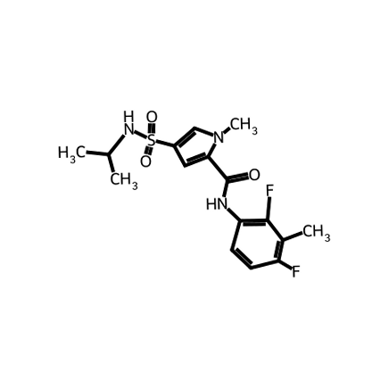 Cc1c(F)ccc(NC(=O)c2cc(S(=O)(=O)NC(C)C)cn2C)c1F